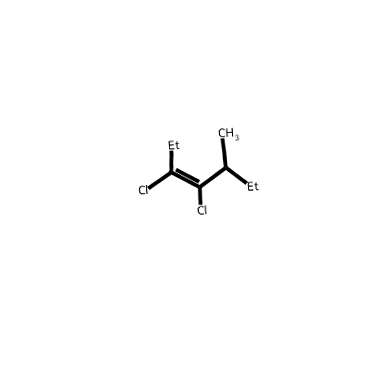 CC/C(Cl)=C(/Cl)C(C)CC